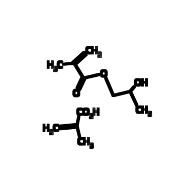 C=C(C)C(=O)O.C=C(C)C(=O)OCC(C)O